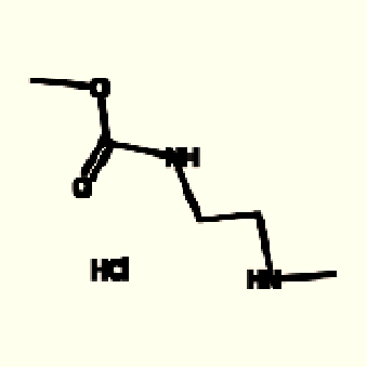 CNCCNC(=O)OC.Cl